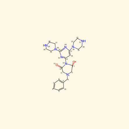 O=C1CN(Cc2ccccc2)CC(=O)N1c1cc(N2CCNCC2)nc(N2CCNCC2)n1